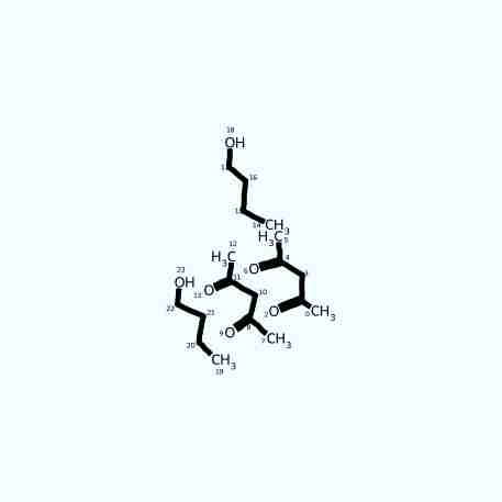 CC(=O)CC(C)=O.CC(=O)CC(C)=O.CCCCO.CCCCO